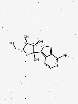 Nc1ncnc2c(C3(O)O[C@H](CO)[C@@H](O)[C@H]3O)scc12